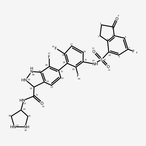 O=C1CCc2c1cc(F)cc2S(=O)(=O)Nc1ccc(F)c(-c2ccc3c(c2F)NNC3C(=O)NC2CNNC2)c1F